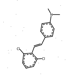 CN(C)c1ccc(/C=C/c2c(Cl)cccc2Cl)cc1